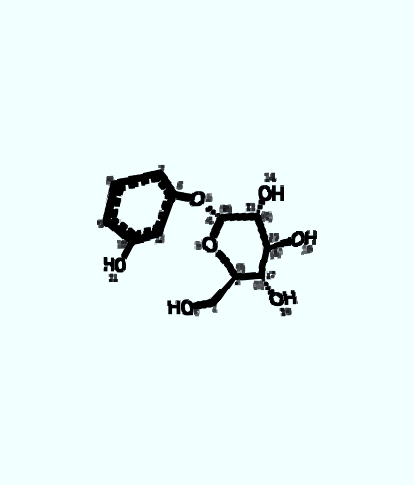 OC[C@H]1O[C@H](Oc2cccc(O)c2)[C@H](O)[C@@H](O)[C@@H]1O